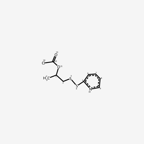 CC(CSSc1ccccn1)OC(=O)Cl